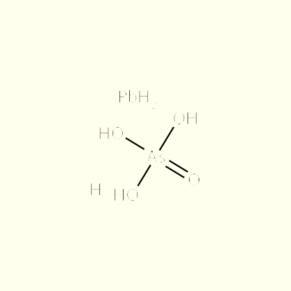 O=[As](O)(O)O.[H+].[PbH2]